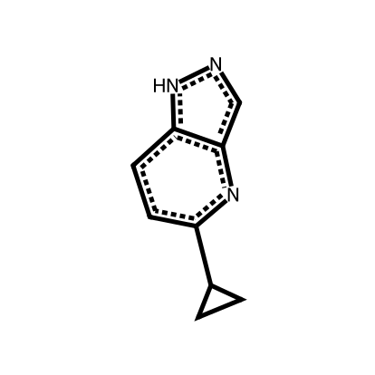 c1cc2[nH]ncc2nc1C1CC1